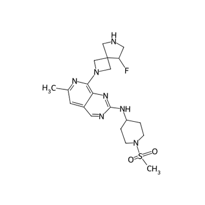 Cc1cc2cnc(NC3CCN(S(C)(=O)=O)CC3)nc2c(N2CC3(CNCC3F)C2)n1